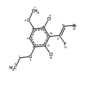 CCOc1cc(OC)c(Cl)c(/C(F)=C/Br)c1Cl